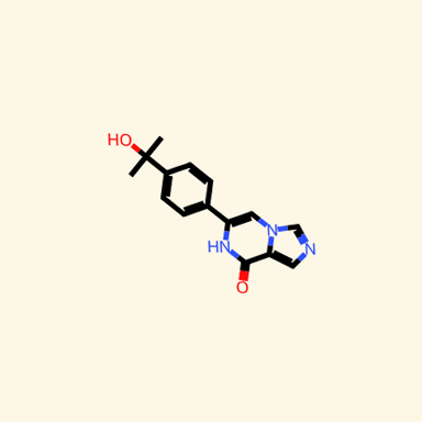 CC(C)(O)c1ccc(-c2cn3cncc3c(=O)[nH]2)cc1